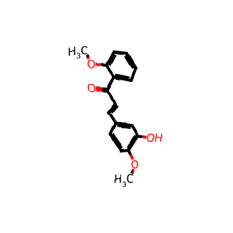 COc1ccc(/C=C/C(=O)c2ccccc2OC)cc1O